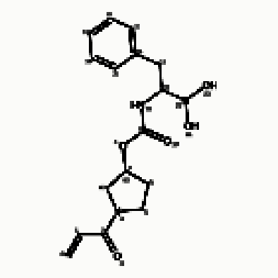 C=CC(=O)N1CC[C@H](OC(=O)NC(Cc2ccccc2)B(O)O)C1